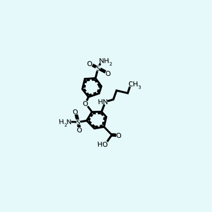 CCCCNc1cc(C(=O)O)cc(S(N)(=O)=O)c1Oc1ccc(S(N)(=O)=O)cc1